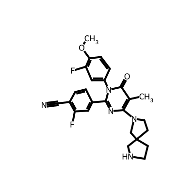 COc1ccc(-n2c(-c3ccc(C#N)c(F)c3)nc(N3CCC4(CCNC4)C3)c(C)c2=O)cc1F